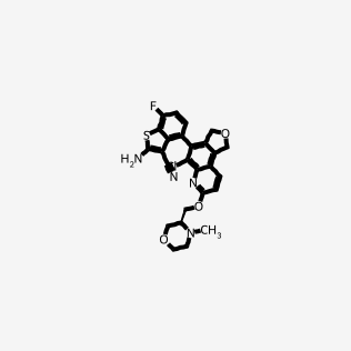 CN1CCOC[C@H]1COc1ccc2c3c(c(-c4ccc(F)c5sc(N)c(C#N)c45)c(Cl)c2n1)COC3